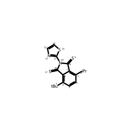 CC(C)c1ccc(C(C)(C)C)c2c1C(=S)N(c1nccs1)C2=S